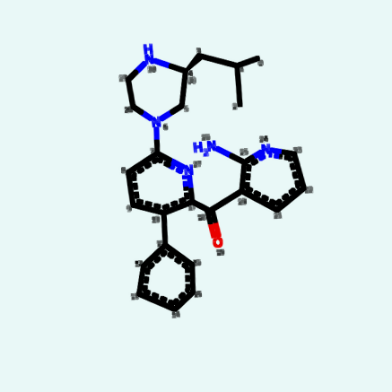 CC(C)C[C@H]1CN(c2ccc(-c3ccccc3)c(C(=O)c3cccnc3N)n2)CCN1